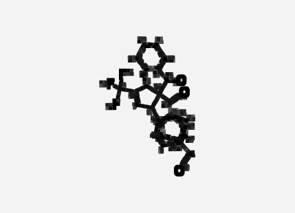 O=Cc1ccc(C2C=C(C(F)(F)F)CC2(C(=O)c2ccccc2)C(=O)c2ccccc2)cc1